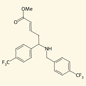 COC(=O)C=CCC(NCc1ccc(C(F)(F)F)cc1)c1ccc(C(F)(F)F)cc1